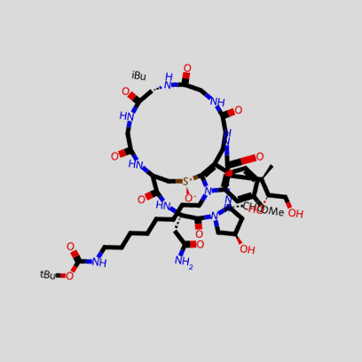 CC[C@H](C)[C@@H]1NC(=O)CNC(=O)C2Cc3c(n(CCCCCCCCNC(=O)OC(C)(C)C)c4cc(OC)ccc34)[S@+]([O-])CC(NC(=O)CNC1=O)C(=O)N[C@@H](CC(N)=O)C(=O)N1C[C@H](O)C[C@]1(C=O)N[C@@H]([C@@H](C)[C@@H](O)CO)C(=O)N2